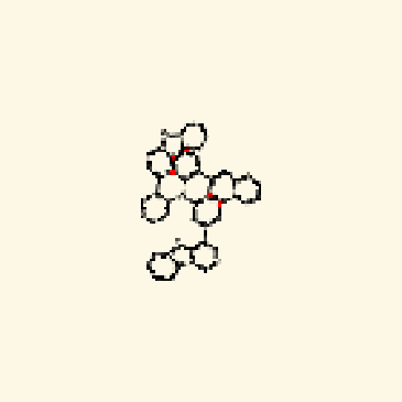 c1cc(-c2cccc3c2sc2ccccc23)cc(N(c2ccccc2-c2ccc3ccccc3c2)c2ccccc2-c2ccc3sc4ccccc4c3c2)c1